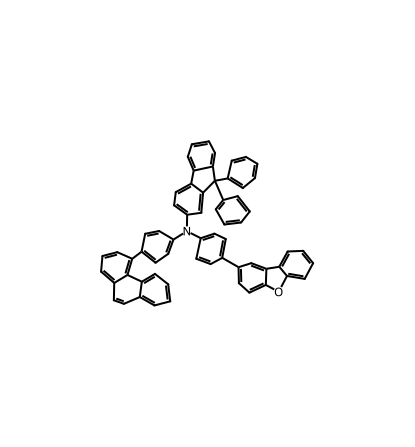 c1ccc(C2(c3ccccc3)c3ccccc3-c3ccc(N(c4ccc(-c5ccc6oc7ccccc7c6c5)cc4)c4ccc(-c5cccc6ccc7ccccc7c56)cc4)cc32)cc1